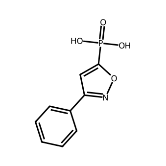 O=P(O)(O)c1cc(-c2ccccc2)no1